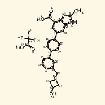 Cc1nc2c(C(=O)O)cc(-c3ccc(-c4cccc(CN5CC(O)C5)c4)cc3)cc2[nH]1.O=C(O)C(F)(F)F